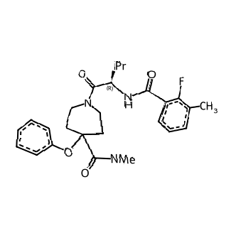 CNC(=O)C1(Oc2ccccc2)CCN(C(=O)[C@H](NC(=O)c2cccc(C)c2F)C(C)C)CC1